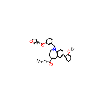 C1CCOC1.CCCOc1cccc(CN2CCC(C(=O)OC)=Cc3cc(-c4ccccc4OCC)ccc32)c1